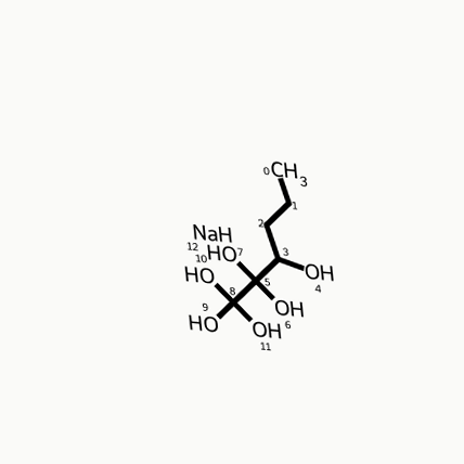 CCCC(O)C(O)(O)C(O)(O)O.[NaH]